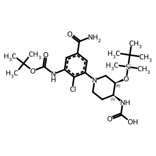 CC(C)(C)OC(=O)Nc1cc(C(N)=O)cc(N2CC[C@H](NC(=O)O)[C@H](O[Si](C)(C)C(C)(C)C)C2)c1Cl